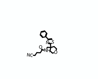 N#CCCCC(=O)NCC1(c2nc(-c3ccccc3)cs2)CCOCC1